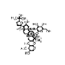 CC(=O)O[C@@H]1[C@@H](O)[C@H](O[C@H]2CC[C@]34C[C@]35CC[C@]3(C)[C@@H]([C@@]6(C)CC[C@@H](C(C)(C)O)O6)[C@@H](O)C[C@@]3(C)[C@@H]5C[C@H](O[C@@H]3O[C@H](CO)[C@@H](O)[C@H](O)[C@H]3O)[C@H]4C2(C)C)OC[C@H]1O